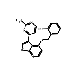 Nc1nccc(-c2c[nH]c3nccc(OCc4ccccc4O)c23)n1